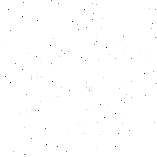 CCCCOC(=O)NC(CC(=O)O)c1cccs1